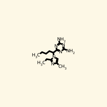 CCCCC(c1nc(N)nc(N)n1)n1cc(C)nc1CC